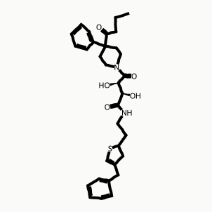 CCCC(=O)C1(c2ccccc2)CCN(C(=O)[C@H](O)[C@@H](O)C(=O)NCCC2CC(Cc3ccccc3)=CS2)CC1